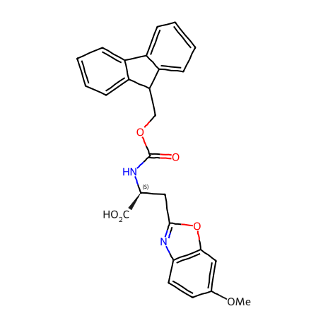 COc1ccc2nc(C[C@H](NC(=O)OCC3c4ccccc4-c4ccccc43)C(=O)O)oc2c1